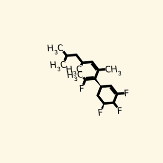 CC(=C/C(C)CC(C)C)/C(=C(\C)F)[C@H]1C=C(F)C(F)[C@@H](F)C1